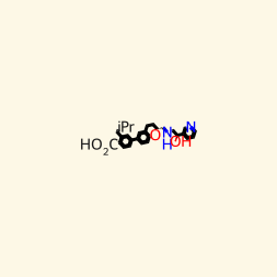 CC(C)Cc1cc(-c2ccc3c(c2)CC[C@H](CNC[C@H](O)c2cccnc2)O3)ccc1C(=O)O